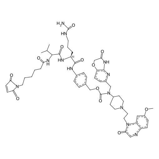 COc1ccc2ncc(=O)n(CCN3CCC(N(Cc4ccc5c(n4)NC(=O)CO5)C(=O)OCc4ccc(NC(=O)[C@H](CCCNC(N)=O)NC(=O)C(NC(=O)CCCCCN5C(=O)C=CC5=O)C(C)C)cc4)CC3)c2c1